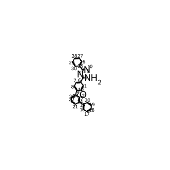 CN=C(/N=C(\N)c1ccc2c(c1)oc1c(-c3ccccc3)cccc12)c1ccccc1